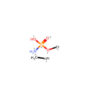 CCCC.CCOP(N)(=O)O